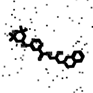 CC1(C)CC(Nc2cc(C(=O)NCC(O)CN3CCc4ccccc4C3)ncn2)CC(C)(C)N1